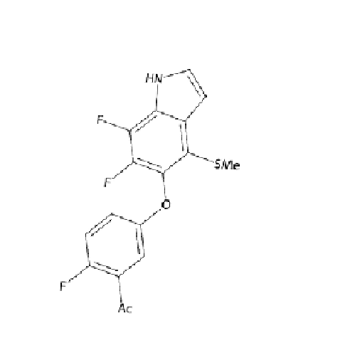 CSc1c(Oc2ccc(F)c(C(C)=O)c2)c(F)c(F)c2[nH]ccc12